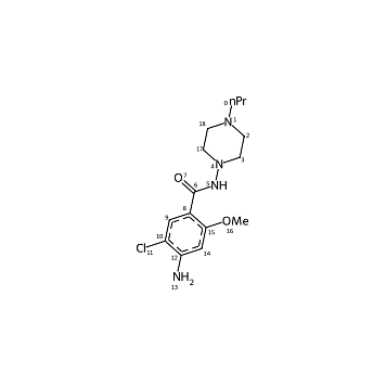 CCCN1CCN(NC(=O)c2cc(Cl)c(N)cc2OC)CC1